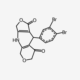 O=C1COCC2=C1C(c1ccc(Br)c(Br)c1)C1=C(COC1=O)N2